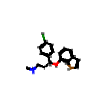 CNCC[C@@H](Oc1cccc2ccsc12)c1ccc(F)cc1